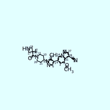 COc1cc(-c2cnn(C3CCN(C(=O)C4(F)CNC4)CC3)c2C)cn2ncc(C#N)c12